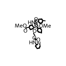 COC(=O)c1cc(NS(=O)(=O)c2ccc(C)cc2)c(Oc2ccccc2OC)c(OCCOC(=O)Nc2ccccn2)c1